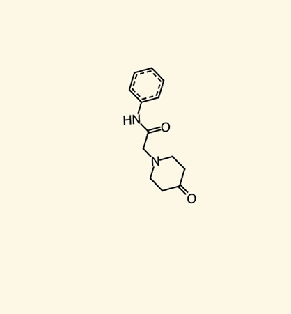 O=C1CCN(CC(=O)Nc2ccccc2)CC1